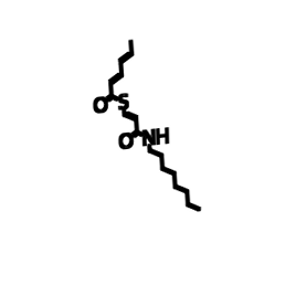 CC=CC=CC(=O)SC=CC(=O)NCCCCCCCC